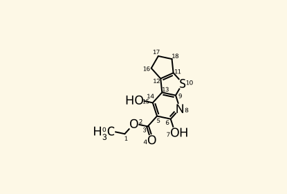 CCOC(=O)c1c(O)nc2sc3c(c2c1O)CCC3